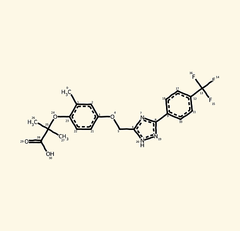 Cc1cc(OCc2nc(-c3ccc(C(F)(F)F)cc3)n[nH]2)ccc1OC(C)(C)C(=O)O